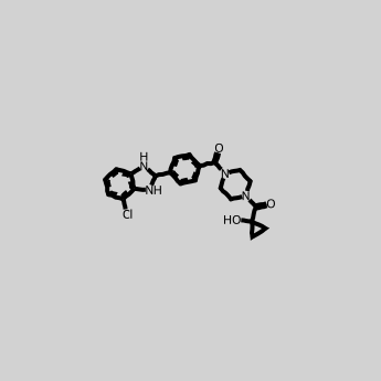 O=C(c1ccc(C2Nc3cccc(Cl)c3N2)cc1)N1CCN(C(=O)C2(O)CC2)CC1